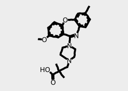 COc1ccc2c(c1)C(N1CCN(CC(C)(C)C(=O)O)CC1)=Nc1ccc(C)cc1O2